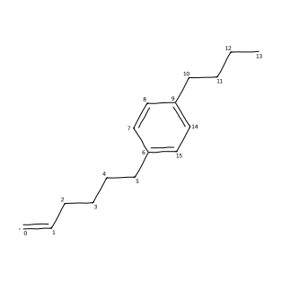 [CH]=CCCCCc1ccc(CCCC)cc1